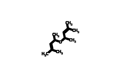 CC(C)=CC(C)OC(C)C=C(C)C